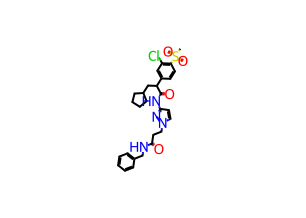 CS(=O)(=O)c1ccc(C(CC2CCCC2)C(=O)Nc2ccn(CCC(=O)NCc3ccccc3)n2)cc1Cl